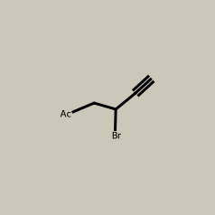 C#CC(Br)CC(C)=O